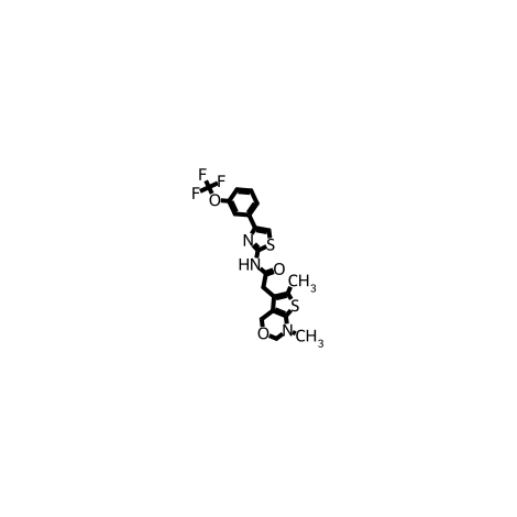 Cc1sc2c(c1CC(=O)Nc1nc(-c3cccc(OC(F)(F)F)c3)cs1)COCN2C